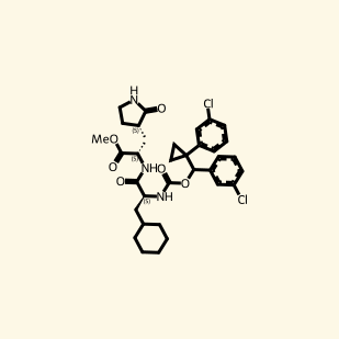 COC(=O)[C@H](C[C@@H]1CCNC1=O)NC(=O)[C@H](CC1CCCCC1)NC(=O)OC(c1cccc(Cl)c1)C1(c2cccc(Cl)c2)CC1